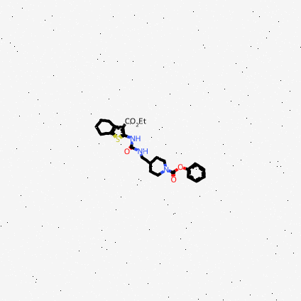 CCOC(=O)c1c(NC(=O)NCC2CCN(C(=O)Oc3ccccc3)CC2)sc2c1CCCC2